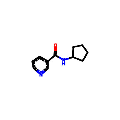 O=C(NC1CCCC1)c1cccnc1